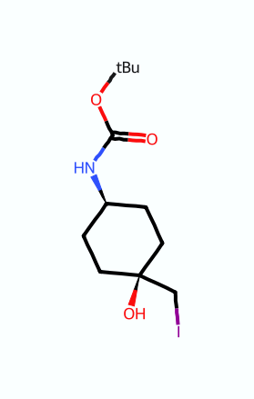 CC(C)(C)OC(=O)N[C@H]1CC[C@](O)(CI)CC1